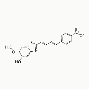 COC1C=c2sc(/C=C/C=C/c3ccc([N+](=O)[O-])cc3)nc2=CC1O